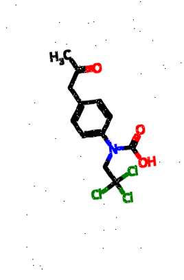 CC(=O)Cc1ccc(N(CC(Cl)(Cl)Cl)C(=O)O)cc1